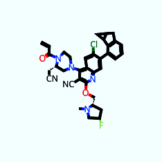 C=CC(=O)N1CCN(c2c(C#N)c(OC[C@@H]3C[C@@H](F)CN3C)nc3cc(-c4cccc5c4C4CC4C5)c(Cl)cc23)C[C@@H]1CC#N